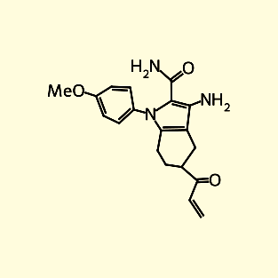 C=CC(=O)C1CCc2c(c(N)c(C(N)=O)n2-c2ccc(OC)cc2)C1